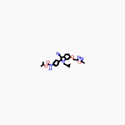 Cc1nnc(COc2ccc3c(C#N)c(-c4ccc(NC(=O)OC(C)C)cc4)n(CC4CC4)c3c2)o1